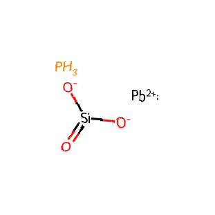 O=[Si]([O-])[O-].P.[Pb+2]